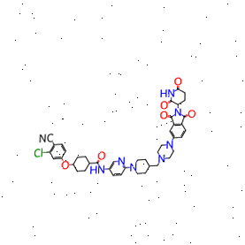 N#Cc1ccc(OC2CCC(C(=O)Nc3ccc(N4CCC(CN5CCN(c6ccc7c(c6)C(=O)N(C6CCC(=O)NC6=O)C7=O)CC5)CC4)nc3)CC2)cc1Cl